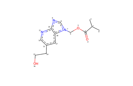 CC(C)C(=O)OCn1cnc2ncc(CCO)cc21